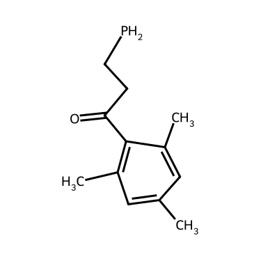 Cc1cc(C)c(C(=O)CCP)c(C)c1